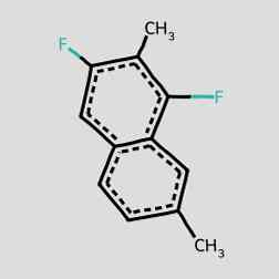 Cc1ccc2cc(F)c(C)c(F)c2c1